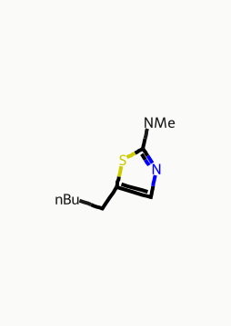 CCCCCc1cnc(NC)s1